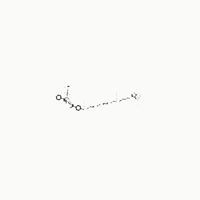 O=C(CCCC[C@H]1SCC2NC(=O)NC21)NCCCOCCOCCOCCCNC(=O)c1ccc(-c2csc(N3N=C(c4ccccc4)C(=NNc4nccs4)C3=O)n2)cc1